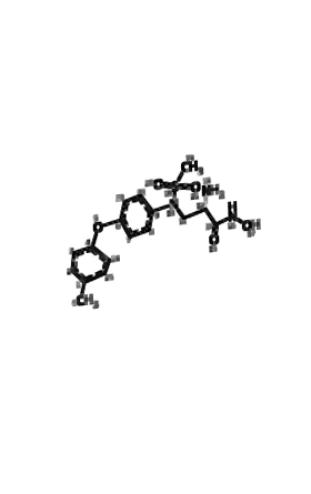 Cc1ccc(Oc2ccc(N(C[C@H](N)C(=O)NO)S(C)(=O)=O)cc2)cc1